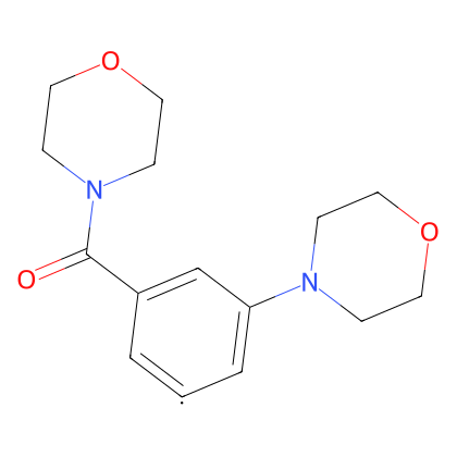 O=C(c1c[c]cc(N2CCOCC2)c1)N1CCOCC1